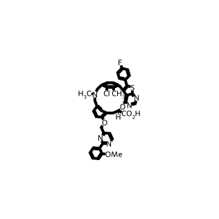 COc1ccccc1-c1nccc(COc2ccc3cc2C[C@H](C(=O)O)Oc2ncnc4sc(-c5ccc(F)cc5)c(c24)-c2ccc(c(Cl)c2C)CN(C)C3)n1